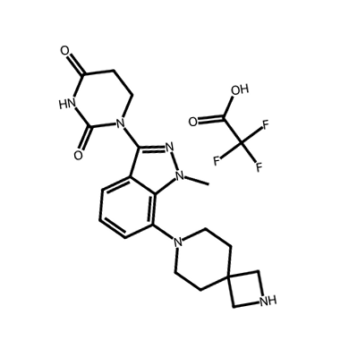 Cn1nc(N2CCC(=O)NC2=O)c2cccc(N3CCC4(CC3)CNC4)c21.O=C(O)C(F)(F)F